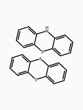 c1ccc2c(c1)Nc1ccccc1S2.c1ccc2c(c1)Sc1ccccc1S2